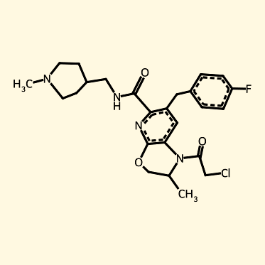 CC1COc2nc(C(=O)NCC3CCN(C)CC3)c(Cc3ccc(F)cc3)cc2N1C(=O)CCl